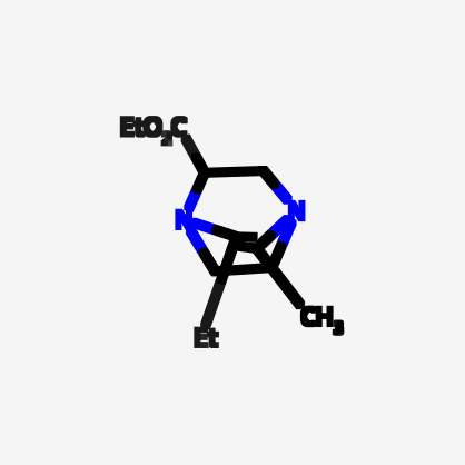 CCOC(=O)C1CN2CCN1C(CC)=C2C